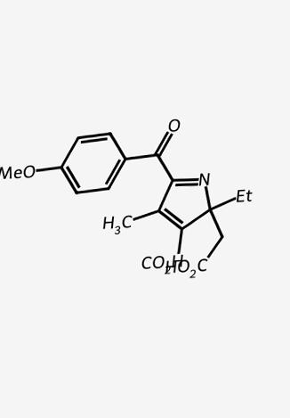 CCC1(CC(=O)O)N=C(C(=O)c2ccc(OC)cc2)C(C)=C1C(=O)O